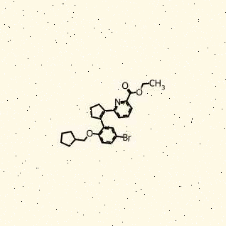 CCOC(=O)c1cccc(C2=C(c3cc(Br)ccc3OCC3CCCC3)CCC2)n1